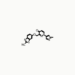 Cn1cc(-n2ccc(=O)c(COc3ccc4nc(C#N)sc4c3)n2)cn1